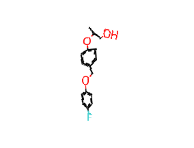 CC(CO)Oc1ccc(COc2ccc(F)cc2)cc1